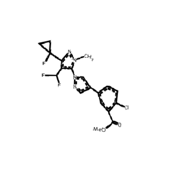 COC(=O)c1cc(-c2cnn(-c3c(C(F)F)c(C4(F)CC4)nn3C)c2)ccc1Cl